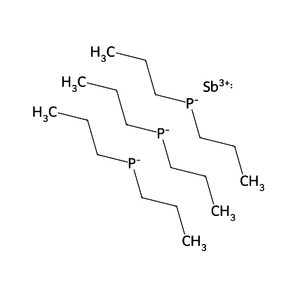 CCC[P-]CCC.CCC[P-]CCC.CCC[P-]CCC.[Sb+3]